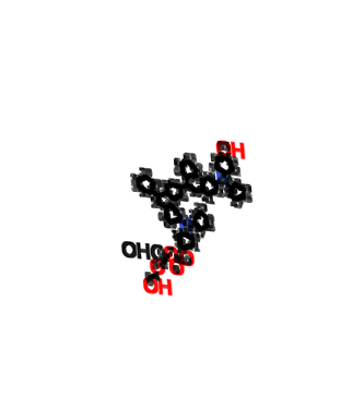 O=CC(COCCO)OC(=O)Oc1ccc(N(c2ccccc2)c2ccc(C=C(c3ccccc3)c3ccc(C(=Cc4ccc(N(c5ccccc5)c5ccc(O)cc5)cc4)c4ccccc4)cc3)cc2)cc1